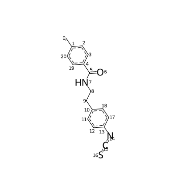 [CH2]c1ccc(C(=O)NCCc2ccc(N=C=S)cc2)cc1